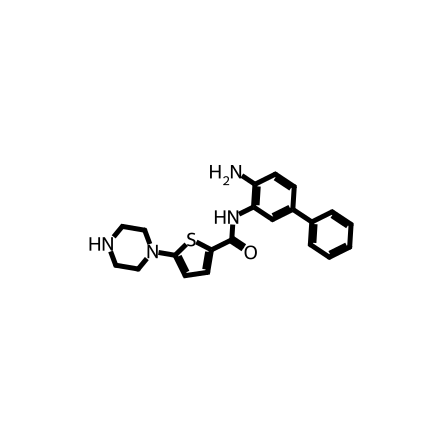 Nc1ccc(-c2ccccc2)cc1NC(=O)c1ccc(N2CCNCC2)s1